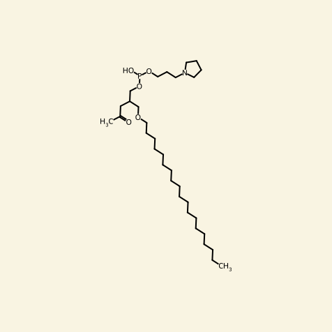 CCCCCCCCCCCCCCCCCCCOCC(COP(O)OCCCN1CCCC1)CC(C)=O